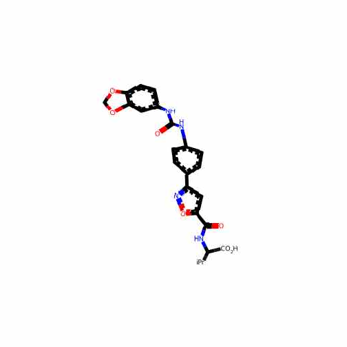 CC(C)C(NC(=O)c1cc(-c2ccc(NC(=O)Nc3ccc4c(c3)OCO4)cc2)no1)C(=O)O